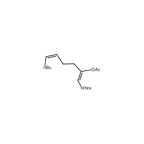 CCCC/C=C\CCC(=CCCCCCC)OC(C)=O